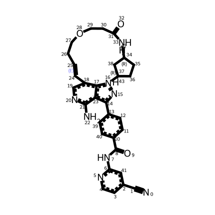 N#Cc1ccnc(NC(=O)c2ccc(-c3nn4c5c(cnc(N)c35)/C=C/CCOCCC(=O)N[C@@H]3CC[C@@H]4C3)cc2)c1